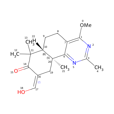 COc1nc(C)nc2c1CC[C@H]1C(C)(C)C(=O)/C(=C\O)C[C@]21C